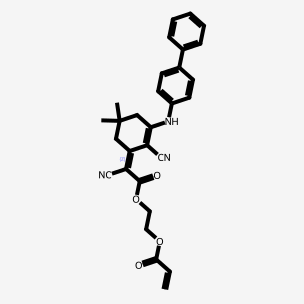 C=CC(=O)OCCOC(=O)/C(C#N)=C1/CC(C)(C)CC(Nc2ccc(-c3ccccc3)cc2)=C1C#N